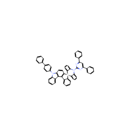 c1ccc(-c2ccc(-n3c4ccccc4c4c5c(ccc43)[Si]3(c4ccccc4-5)c4ccccc4N(c4nc(-c5ccccc5)cc(-c5ccccc5)n4)c4ccccc43)cc2)cc1